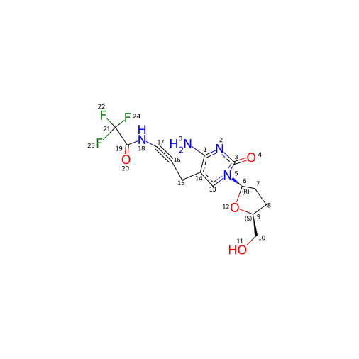 Nc1nc(=O)n([C@H]2CC[C@@H](CO)O2)cc1CC#CNC(=O)C(F)(F)F